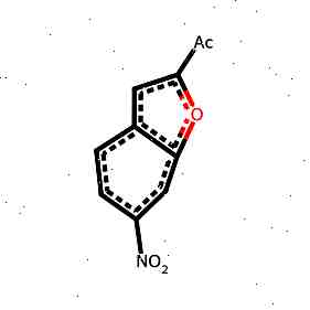 CC(=O)c1cc2ccc([N+](=O)[O-])cc2o1